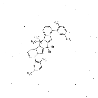 CCC1(CC)C2=Cc3c(-c4cc(C)ccc4C)cccc3[CH]2[Hf]([CH3])([CH3])[CH]2C1=Cc1c(-c3cc(C)ccc3C)cccc12